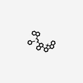 CC1(C)c2c(cccc2-c2ccc(-c3cc(-c4cccc5ccccc45)nc(-c4ccccc4)n3)c3ccccc23)-c2ccc3ccccc3c21